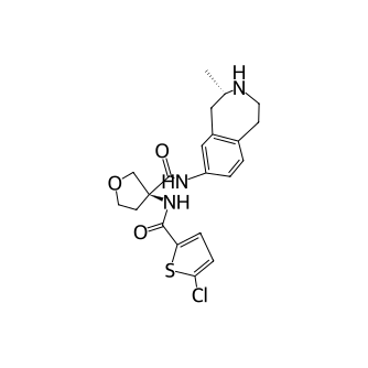 C[C@H]1Cc2cc(NC(=O)[C@]3(NC(=O)c4ccc(Cl)s4)CCOC3)ccc2CCN1